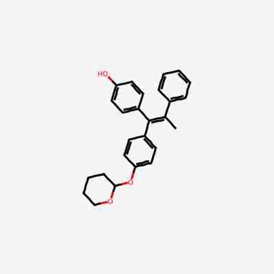 C/C(=C(/c1ccc(O)cc1)c1ccc(OC2CCCCO2)cc1)c1ccccc1